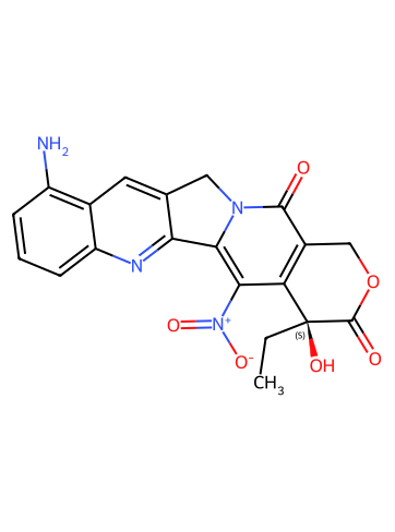 CC[C@@]1(O)C(=O)OCc2c1c([N+](=O)[O-])c1n(c2=O)Cc2cc3c(N)cccc3nc2-1